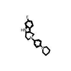 Fc1ccc2c3c([nH]c2c1)CCN(c1ccc(N2CCCCC2)cc1)C3